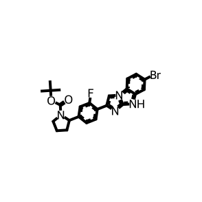 CC(C)(C)OC(=O)N1CCCC1c1ccc(-c2cn3c(n2)[nH]c2cc(Br)ccc23)c(F)c1